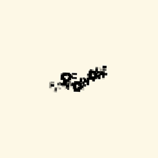 CC(Oc1cc(-n2nc(C(F)(F)F)c3c2C(=O)CCC3)ccc1F)c1ccc2c(c1)OC(F)(F)O2